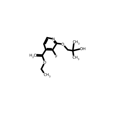 C=C(OCC)c1ccnc(OCC(C)(C)O)c1F